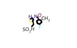 Cc1cc(F)ccc1C(N)=O.O=S(=O)(O)/C=C/c1cccs1